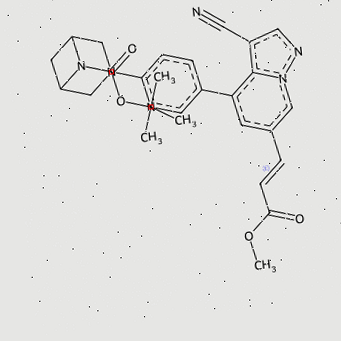 COC(=O)/C=C/c1cc(-c2ccc(N3CC4CC(C3)N4C(=O)OC(C)(C)C)nc2)c2c(C#N)cnn2c1